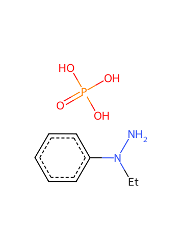 CCN(N)c1ccccc1.O=P(O)(O)O